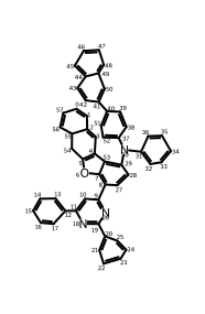 C1=CC2=Cc3c(oc4c(-c5cc(-c6ccccc6)nc(-c6ccccc6)n5)ccc(N(c5ccccc5)c5ccc(-c6ccc7ccccc7c6)cc5)c34)CC2C=C1